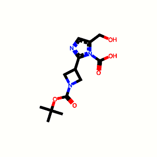 CC(C)(C)OC(=O)N1CC(c2ncc(CO)n2C(=O)O)C1